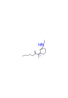 C=C(CCCCC)/C(C)=C1\C=C(NCC)CCC1